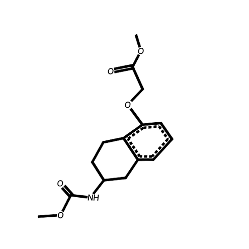 COC(=O)COc1cccc2c1CCC(NC(=O)OC)C2